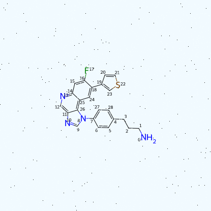 NCCCc1ccc(-n2cnc3cnc4cc(F)c(-c5ccsc5)cc4c32)cc1